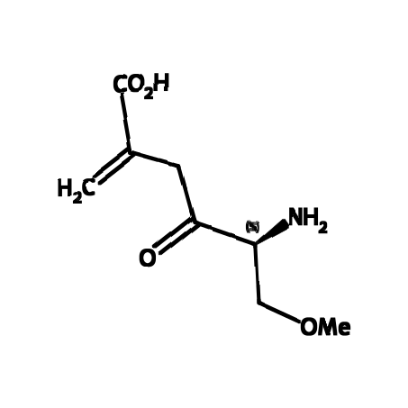 C=C(CC(=O)[C@@H](N)COC)C(=O)O